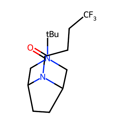 CC(C)(C)N1CC2CCC(C1)N2C(=O)CCC(F)(F)F